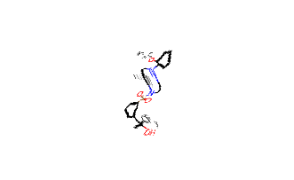 C[C@@H]1CN(c2ccccc2OC(F)(F)F)CCN1S(=O)(=O)c1cccc(C(C)(O)C(F)(F)F)c1